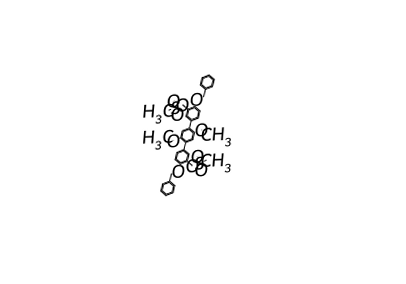 COc1cc(-c2ccc(OCc3ccccc3)c(OS(C)(=O)=O)c2)c(OC)cc1-c1ccc(OCc2ccccc2)c(OS(C)(=O)=O)c1